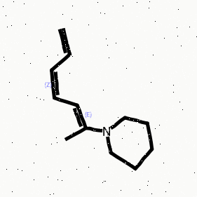 C=C/C=C\C=C(/C)N1CCCCC1